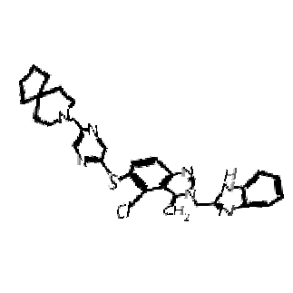 C=C1c2c(ccc(Sc3cnc(N4CCC5(CCCC5)CC4)cn3)c2Cl)N=CN1Cc1nc2ccccc2[nH]1